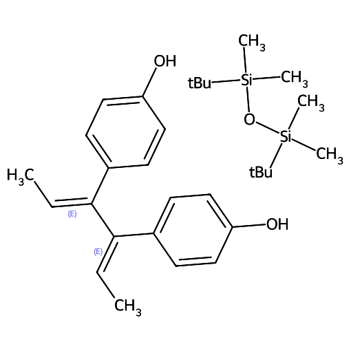 C/C=C(/C(=C/C)c1ccc(O)cc1)c1ccc(O)cc1.CC(C)(C)[Si](C)(C)O[Si](C)(C)C(C)(C)C